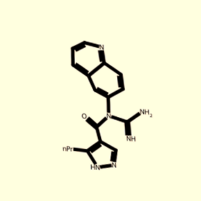 CCCc1[nH]ncc1C(=O)N(C(=N)N)c1ccc2ncccc2c1